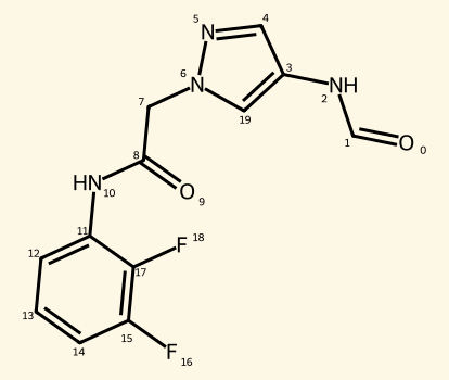 O=CNc1cnn(CC(=O)Nc2cccc(F)c2F)c1